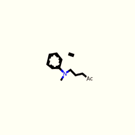 C=C.CC(=O)CCCN(C)c1ccccc1